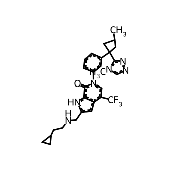 CC1CC(c2cccc(-n3cc(C(F)(F)F)c4cc(CNCCC5CC5)[nH]c4c3=O)c2)(c2nncn2C)C1